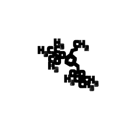 C=CCc1cc(CC(=O)OC(C)(C)C)ccc1OC(=O)C(C)(C)C